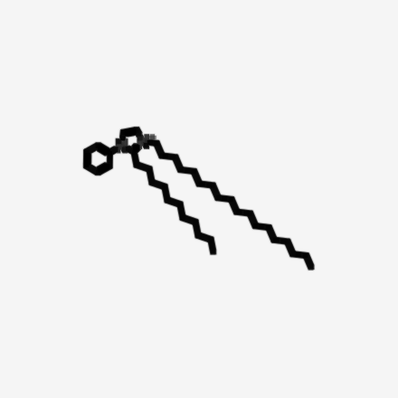 CCCCCCCCCCCCCCCCCC[n+]1ccn(-c2ccccc2)c1CCCCCCCCCCC